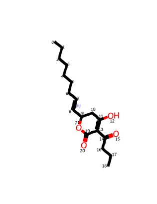 CCCCCCC/C=C/C1CC(O)=C(C(=O)CCC)C(=O)O1